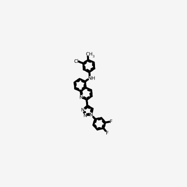 Cc1ccc(Nc2cccc3nc(-c4cn(-c5ccc(F)c(F)c5)nn4)ccc23)cc1Cl